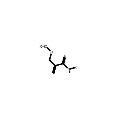 C=C(COC=O)C(=O)NCC